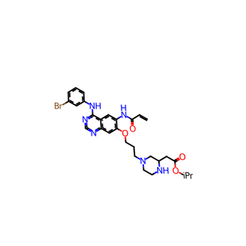 C=CC(=O)Nc1cc2c(Nc3cccc(Br)c3)ncnc2cc1OCCCN1CCNC(CC(=O)OC(C)C)C1